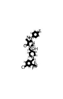 O=c1c2cnn(-c3ccc(F)cc3)c2ncn1CC1(O)CCN(Cc2ccc(Cl)cc2C(F)(F)F)CC1